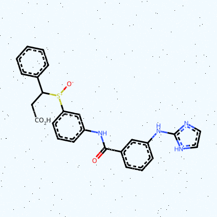 O=C(O)CC(c1ccccc1)[S+]([O-])c1cccc(NC(=O)c2cccc(Nc3ncc[nH]3)c2)c1